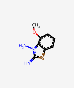 COc1cccc2sc(=N)n(N)c12